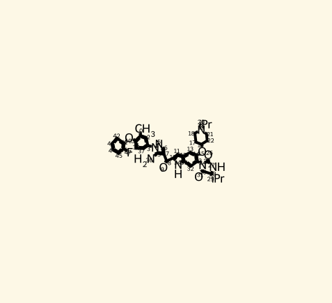 Cc1cc(-n2ncc(C(=O)c3cc4cc(OC5CCN(C(C)C)CC5)c(N5C(=O)NC(C(C)C)C5=O)cc4[nH]3)c2N)ccc1Oc1ccccc1F